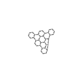 c1ccc2c(c1)c1ccc3c4cccc5c4cc4c3c1c1c2ccc2c3ccccc3c5c4c21